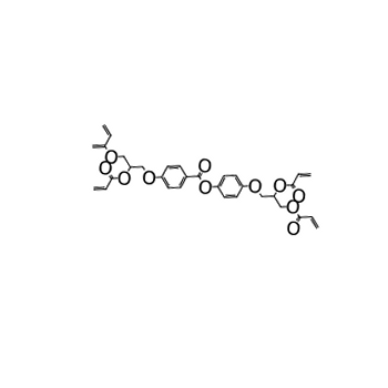 C=CC(=C)OCC(COc1ccc(C(=O)Oc2ccc(OCC(COC(=O)C=C)OC(=O)C=C)cc2)cc1)OC(=O)C=C